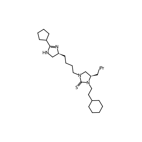 CC(C)C[C@@H]1CN(CCCC[C@H]2CNC(C3CCCC3)=N2)C(=S)N1CCC1CCCCC1